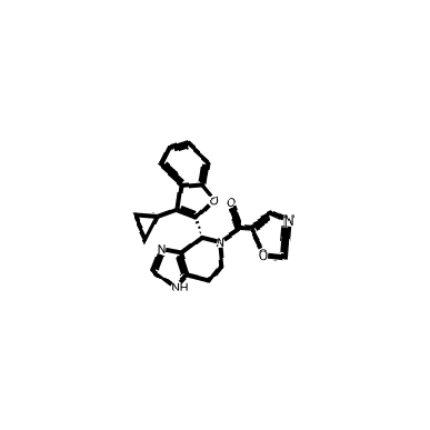 O=C(c1cnco1)N1CCc2[nH]cnc2[C@@H]1c1oc2ccccc2c1C1CC1